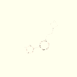 Cn1cc(-c2c[c]cc(OCC3CNC3)c2)cn1